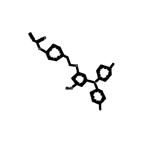 C=CC(=O)Oc1ccc(CCOc2cc(OC)cc(N(c3ccc(C)cc3)c3ccc(C)cc3)c2)cc1